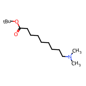 CN(C)CCCCCCCCC(=O)OC(C)(C)C